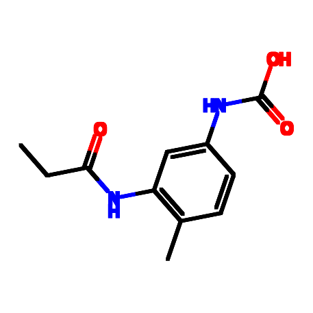 CCC(=O)Nc1cc(NC(=O)O)ccc1C